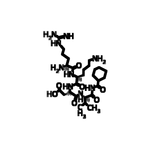 CC(C)[C@H](NC(=O)[C@H](CC(=O)O)NC(=O)[C@H](CCCCN)NC(=O)[C@@H](N)CCCNC(=N)N)C(=O)NC(=O)C1CCCCC1